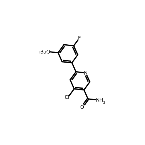 CC(C)COc1cc(F)cc(-c2cc(Cl)c(C(N)=O)cn2)c1